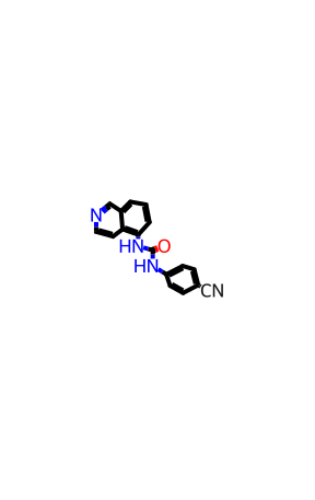 N#Cc1ccc(NC(=O)Nc2cccc3cnccc23)cc1